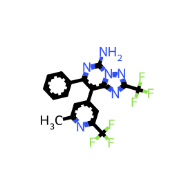 Cc1cc(-c2c(-c3ccccc3)nc(N)n3nc(C(F)(F)F)nc23)cc(C(F)(F)F)n1